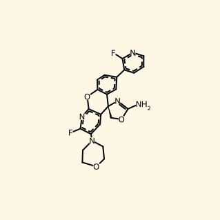 NC1=N[C@@]2(CO1)c1cc(-c3cccnc3F)ccc1Oc1nc(F)c(N3CCOCC3)cc12